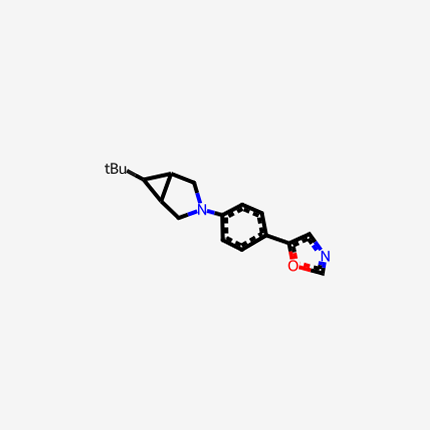 CC(C)(C)C1C2CN(c3ccc(-c4cnco4)cc3)CC21